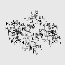 CN1C(C)(C)CC(OC2=NN(OC3CC(C)(C)N(C)C(C)(C)C3)NC(N(CCN(C3=CC(OC4CC(C)(C)N(C)C(C)(C)C4)=NN(OC4CC(C)(C)N(C)C(C)(C)C4)N3)C3CC(C)(C)N(C)C(C)(C)C3)C3CC(C)(C)N(C)C(C)(C)C3)=C2)CC1(C)C